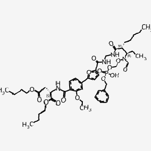 CCCCC[C@@H](C(=O)NCNC(=O)c1ccc(-c2ccc(C(=O)N[C@@H](CC(=O)OCCCC)C(=O)OCCCC)c(OCC)c2)o1)[C@@H](CC)N(C=O)OCOP(=O)(O)OCc1ccccc1